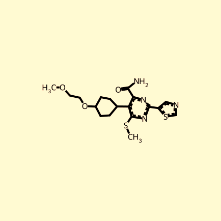 COCCOC1CCC(c2c(SC)nc(-c3cncs3)nc2C(N)=O)CC1